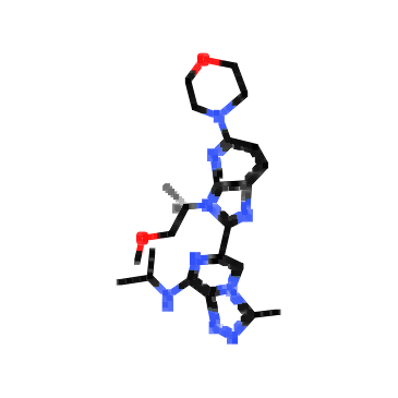 COC[C@H](C)n1c(-c2cn3c(C)nnc3c(NC(C)C)n2)nc2ccc(N3CCOCC3)nc21